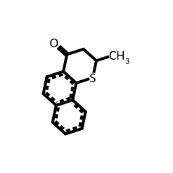 CC1CC(=O)c2ccc3ccccc3c2S1